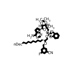 CCCCCCCCCCCCCCCCCCC[C@H](COP(=O)(OC[C@@]1(C)O[C@@H](c2ccc3c(N)ncnn23)[C@@H]2OC(C)(C)O[C@@H]21)Oc1ccccc1Cl)OCc1cc(F)cc(C#N)c1